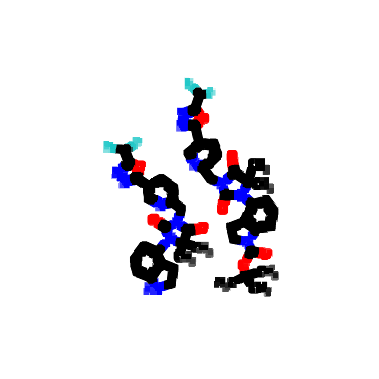 CC(C)(C)OC(=O)N1CCc2c1cccc2N1C(=O)N(Cc2ccc(-c3nnc(C(F)F)o3)cn2)C(=O)C1(C)C.CC1(C)C(=O)N(Cc2ccc(-c3nnc(C(F)F)o3)cn2)C(=O)N1c1cccc2c1CCN2